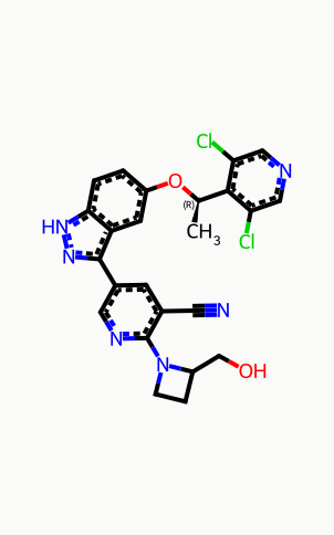 C[C@@H](Oc1ccc2[nH]nc(-c3cnc(N4CCC4CO)c(C#N)c3)c2c1)c1c(Cl)cncc1Cl